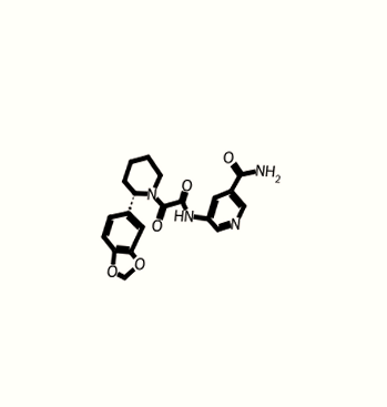 NC(=O)c1cncc(NC(=O)C(=O)N2CCCC[C@H]2c2ccc3c(c2)OCO3)c1